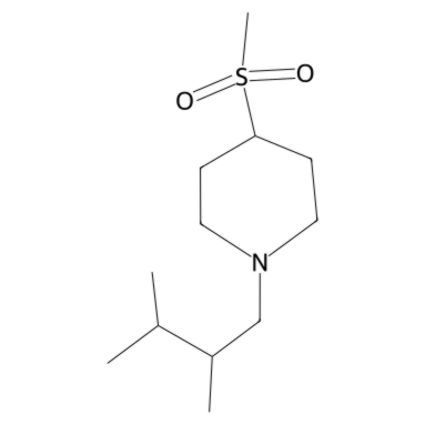 CC(C)C(C)CN1CCC(S(C)(=O)=O)CC1